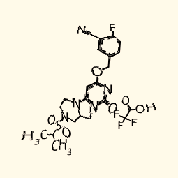 CC(C)S(=O)(=O)N1CCN2c3cc(OCc4ccc(F)c(C#N)c4)nc(=O)n3CC2C1.O=C(O)C(F)(F)F